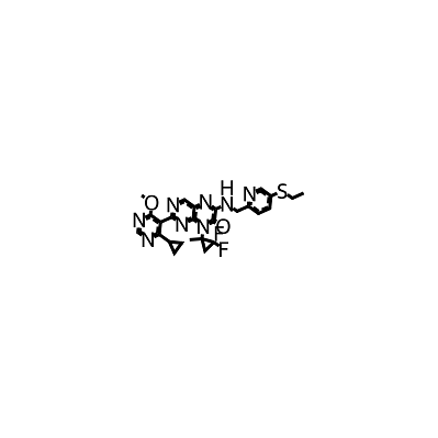 CCSc1ccc(CNc2nc3cnc(-c4c(OC)ncnc4C4CC4)nc3n(C3(C)CC3(F)F)c2=O)nc1